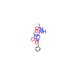 CCC(=O)N(C)NC(=O)[C@@H]1CCN(OCc2ccccc2)C(=O)N1CC